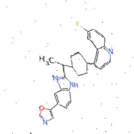 CC(c1nc2cc(-c3cnco3)ccc2[nH]1)C1CCC(c2ccnc3ccc(F)cc23)CC1